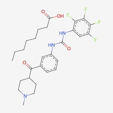 CCCCCCCC(=O)O.CN1CCC(C(=O)c2cccc(NC(=O)Nc3cc(F)c(F)c(F)c3F)c2)CC1